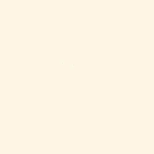 O=S(=O)(O)CC1=CC=CC1